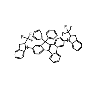 FC(F)(F)C1Cc2ccccc2N1c1ccc2c(c1)C(c1ccccc1)(c1ccccc1)c1c-2c2ccccc2c2cc(N3c4ccccc4CC3C(F)(F)F)ccc12